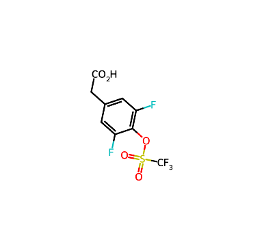 O=C(O)Cc1cc(F)c(OS(=O)(=O)C(F)(F)F)c(F)c1